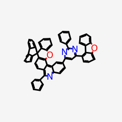 c1ccc(-c2nc(-c3ccc4nc(-c5ccccc5)c5ccc6c(c5c4c3)Oc3ccccc3C63c4ccccc4-c4ccccc43)cc(-c3cccc4oc5ccccc5c34)n2)cc1